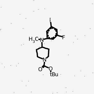 CN(c1cc(F)cc(I)c1)C1CCN(C(=O)OC(C)(C)C)CC1